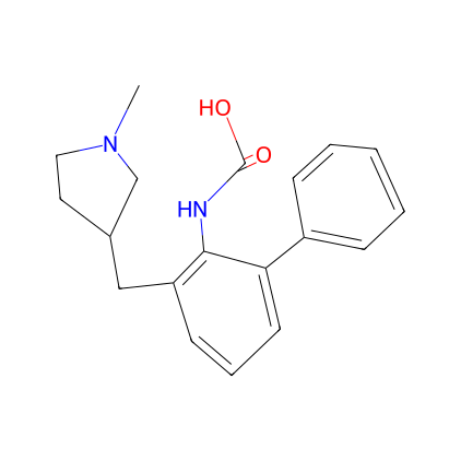 CN1CCC(Cc2cccc(-c3ccccc3)c2NC(=O)O)C1